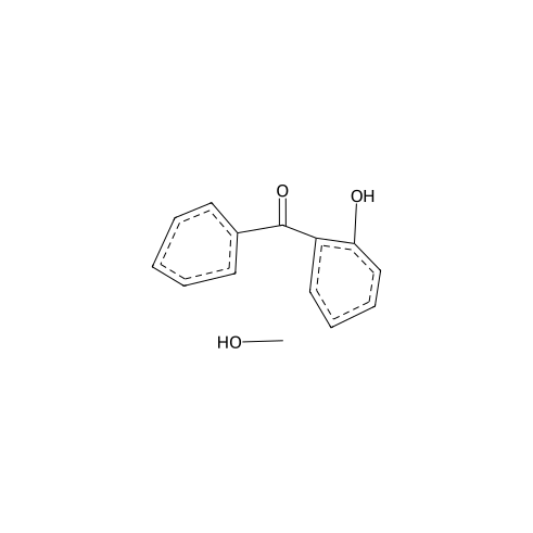 CO.O=C(c1ccccc1)c1ccccc1O